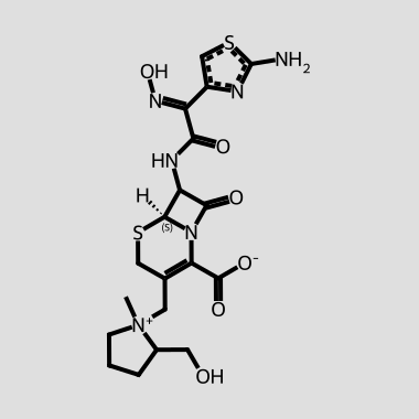 C[N+]1(CC2=C(C(=O)[O-])N3C(=O)C(NC(=O)C(=NO)c4csc(N)n4)[C@@H]3SC2)CCCC1CO